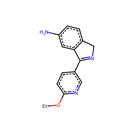 CCOc1ccc(C2=NCc3ccc(N)cc32)cn1